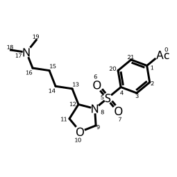 CC(=O)c1ccc(S(=O)(=O)N2COCC2CCCCN(C)C)cc1